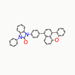 O=c1n(-c2ccccc2)c2ccccc2n1-c1ccc(-c2ccc3c4c(cccc24)Oc2ccccc2-3)cc1